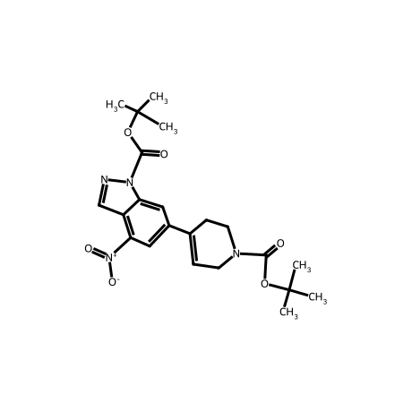 CC(C)(C)OC(=O)N1CC=C(c2cc([N+](=O)[O-])c3cnn(C(=O)OC(C)(C)C)c3c2)CC1